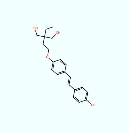 CCC(CO)(CO)CCOc1ccc(/C=C/c2ccc(O)cc2)cc1